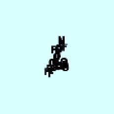 CS(=O)(=O)c1ccc(OCC(F)(F)F)c(C(=O)N2CCN(c3cc(F)c(C#N)cc3F)CC2)c1